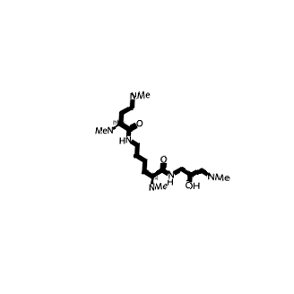 CNCC[C@H](NC)C(=O)NCCCC[C@H](NC)C(=O)NCC(O)CNC